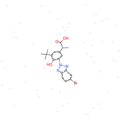 CC(C(=O)O)c1cc(-n2nc3ccc(Br)cc3n2)c(O)c(C(C)(C)C)c1